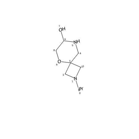 CC(C)N1CC2(CNC(O)CO2)C1